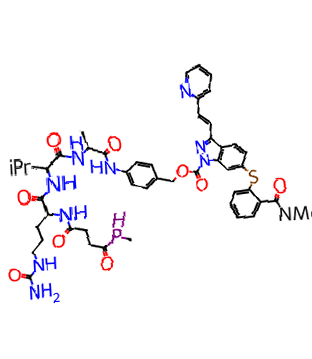 CNC(=O)c1ccccc1Sc1ccc2c(/C=C/c3ccccn3)nn(C(=O)OCc3ccc(NC(=O)[C@H](C)NC(=O)C(NC(=O)[C@H](CCCNC(N)=O)NC(=O)CCC(=O)PC)C(C)C)cc3)c2c1